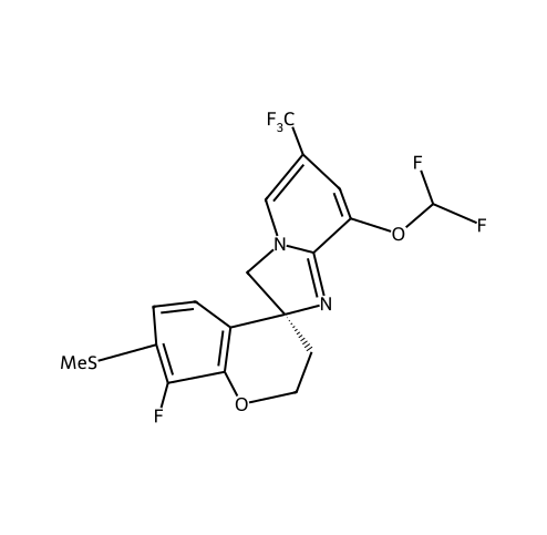 CSc1ccc2c(c1F)OCC[C@@]21CN2C=C(C(F)(F)F)C=C(OC(F)F)C2=N1